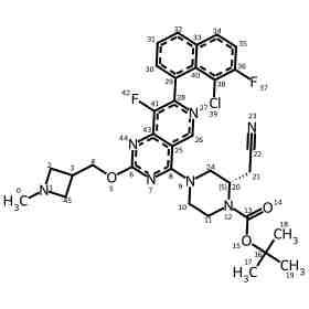 CN1CC(COc2nc(N3CCN(C(=O)OC(C)(C)C)[C@@H](CC#N)C3)c3cnc(-c4cccc5ccc(F)c(Cl)c45)c(F)c3n2)C1